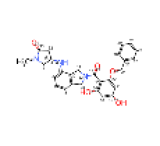 CN1C[C@H](Nc2cccc3c2CN(C(=O)c2c(O)cc(O)cc2OCc2ccccc2)C3)CC1=O